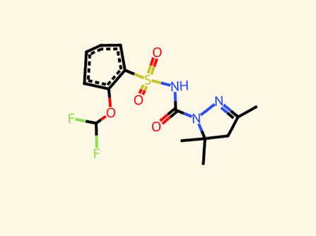 CC1=NN(C(=O)NS(=O)(=O)c2ccccc2OC(F)F)C(C)(C)C1